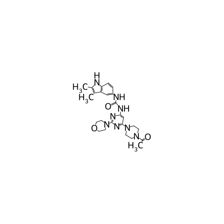 CC(=O)N1CCN(c2cc(NC(=O)Nc3ccc4[nH]c(C)c(C)c4c3)nc(N3CCOCC3)n2)CC1